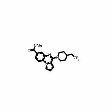 COC(=O)c1ccc2c(c1)nc(N1CCC(CC(F)(F)F)CC1)c1cccn12